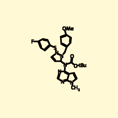 COc1ccc(CN2C(N(C(=O)OC(C)(C)C)c3ncnc4c3ccn4C)C=CN2Sc2ccc(F)cc2)cc1